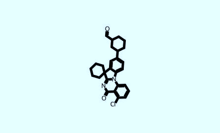 O=CC1CCCC(c2ccc3c(c2)C2(CCCCC2)c2nc(=O)c4c(Cl)cccc4n2-3)C1